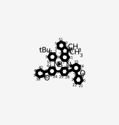 CC(C)(C)c1ccc(N2B3c4cc5c(cc4-n4c6ccc7oc8ccccc8c7c6c6ccc(c3c64)-c3cc4oc6ccccc6c4cc32)C(C)(C)c2ccccc2-5)cc1